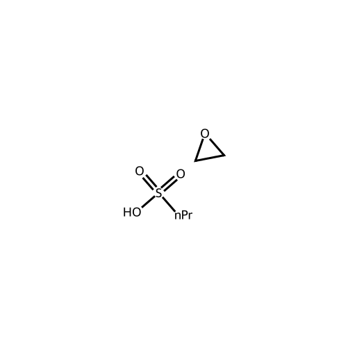 C1CO1.CCCS(=O)(=O)O